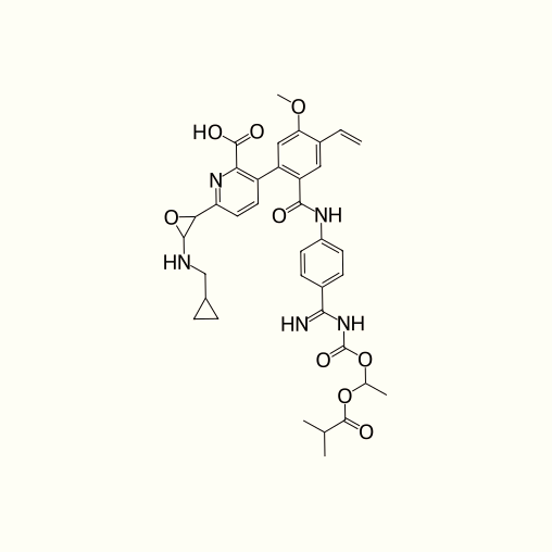 C=Cc1cc(C(=O)Nc2ccc(C(=N)NC(=O)OC(C)OC(=O)C(C)C)cc2)c(-c2ccc(C3OC3NCC3CC3)nc2C(=O)O)cc1OC